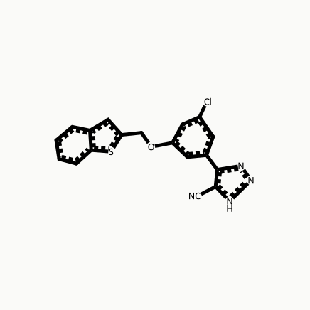 N#Cc1[nH]nnc1-c1cc(Cl)cc(OCc2cc3ccccc3s2)c1